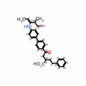 C/C=C(\Nc1ccc(-c2ccc(C(=O)CC(CCc3ccccc3)C(=O)O)cc2)cc1)C(C)CI